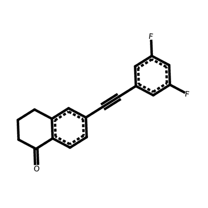 O=C1CCCc2cc(C#Cc3cc(F)cc(F)c3)ccc21